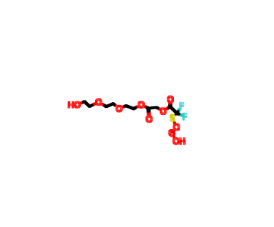 O=C(COC(=O)C(F)(F)SOOO)OCCOCCOCCO